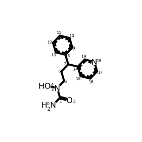 NC(=O)N(O)CCC(c1ccccc1)c1cccnc1